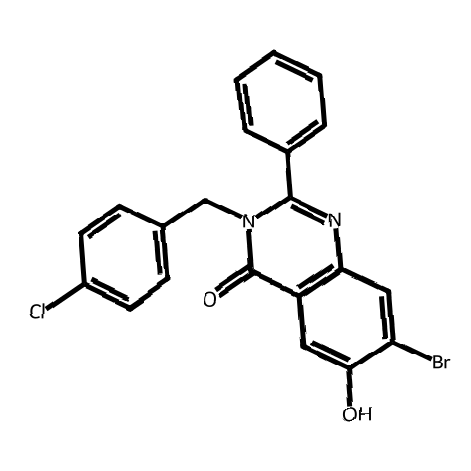 O=c1c2cc(O)c(Br)cc2nc(-c2ccccc2)n1Cc1ccc(Cl)cc1